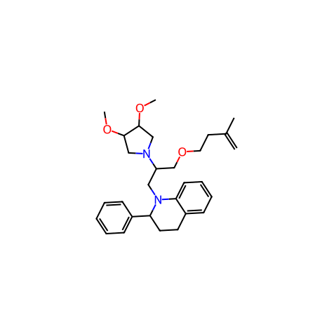 C=C(C)CCOCC(CN1c2ccccc2CCC1c1ccccc1)N1CC(OC)C(OC)C1